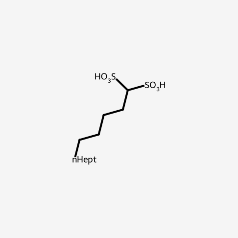 CCCCCCCCCCCC(S(=O)(=O)O)S(=O)(=O)O